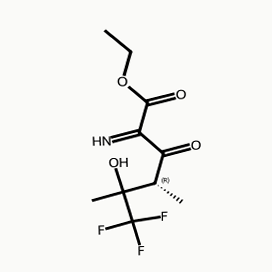 CCOC(=O)C(=N)C(=O)[C@H](C)C(C)(O)C(F)(F)F